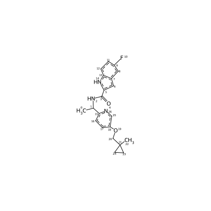 CC(NC(=O)c1cc2cc(F)ccc2[nH]1)c1ccc(OCC2(C)CC2)cn1